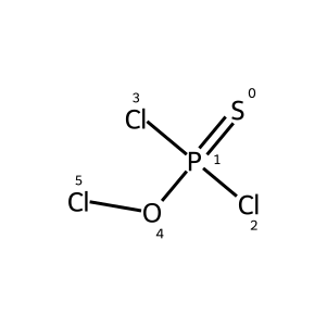 S=P(Cl)(Cl)OCl